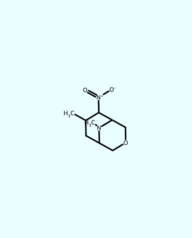 CC1CC2COCC(C1[N+](=O)[O-])N2C